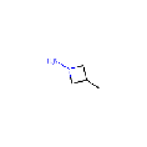 CC1CN(N)C1